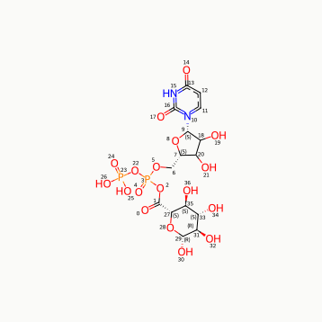 O=C(OP(=O)(OC[C@@H]1O[C@H](n2ccc(=O)[nH]c2=O)C(O)C1O)OP(=O)(O)O)[C@H]1O[C@@H](O)[C@H](O)[C@@H](O)[C@@H]1O